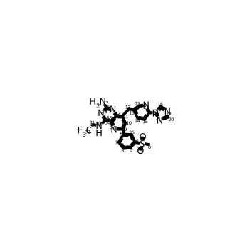 CS(=O)(=O)c1cccc(-c2cc(Cc3ccc(-n4cncn4)nc3)c3nc(N)nc(NCC(F)(F)F)c3n2)c1